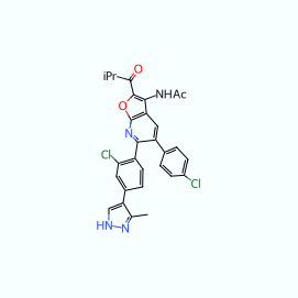 CC(=O)Nc1c(C(=O)C(C)C)oc2nc(-c3ccc(-c4c[nH]nc4C)cc3Cl)c(-c3ccc(Cl)cc3)cc12